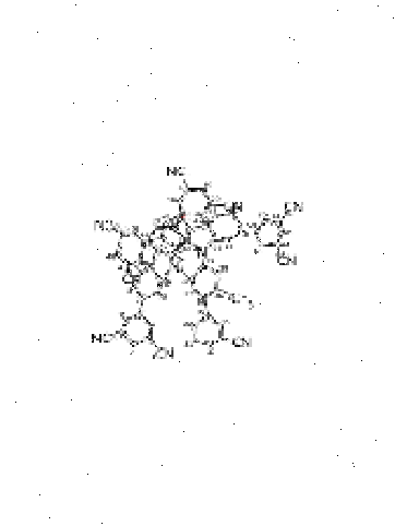 N#Cc1cc(C#N)cc(-c2ccc3c4ccc(-c5cc(C#N)cc(C#N)c5)cc4n(-c4cc(-c5cccc(C#N)c5)c(C(F)(F)F)cc4-n4c5cc(-c6cc(C#N)cc(C#N)c6)ccc5c5ccc(-c6cc(C#N)cc(C#N)c6)cc54)c3c2)c1